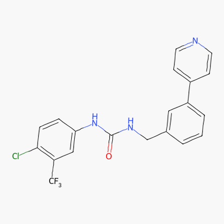 O=C(NCc1cccc(-c2ccncc2)c1)Nc1ccc(Cl)c(C(F)(F)F)c1